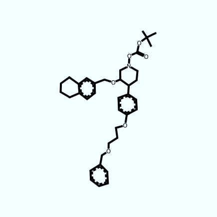 CC(C)(C)OC(=O)ON1CCC(c2ccc(OCCCOCc3ccccc3)cc2)C(OCc2ccc3c(c2)CCCC3)C1